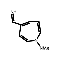 CNN1C=CC=C(C=N)C=C1